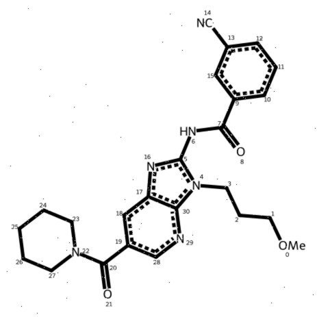 COCCCn1c(NC(=O)c2cccc(C#N)c2)nc2cc(C(=O)N3CCCCC3)cnc21